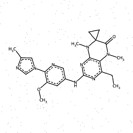 CCc1nc(Nc2cnc(-n3cnc(C)c3)c(OC)c2)nc2c1N(C)C(=O)C1(CC1)N2C